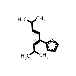 CC(C)/C=C(/C=C/C(C)C)c1cccs1